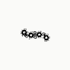 O=S(=O)(c1ccc(Oc2ccccc2)cc1)c1ccc(Oc2ccccn2)cc1